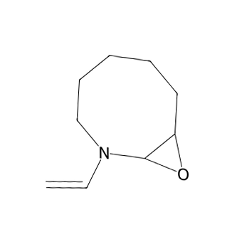 C=CN1CCCCCC2OC21